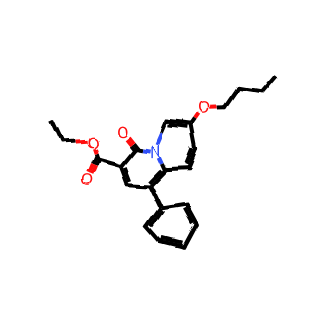 CCCCOc1ccc2c(-c3ccccc3)cc(C(=O)OCC)c(=O)n2c1